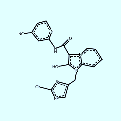 N#Cc1ccnc(NC(=O)c2c(O)n(Cc3cnc(Cl)s3)c3cccc[n+]23)c1